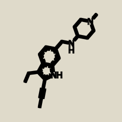 CC#Cc1[nH]c2cc(CNC3CCN(C)CC3)ccc2c1CC